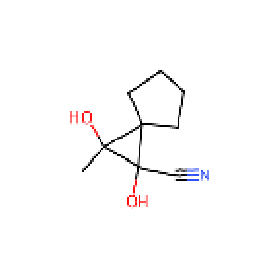 CC1(O)C(O)(C#N)C12CCCC2